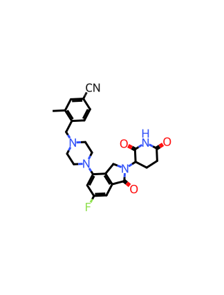 Cc1cc(C#N)ccc1CN1CCN(c2cc(F)cc3c2CN(C2CCC(=O)NC2=O)C3=O)CC1